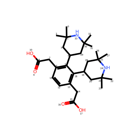 CC1(C)CC(c2c(CC(=O)O)ccc(CC(=O)O)c2C2CC(C)(C)NC(C)(C)C2)CC(C)(C)N1